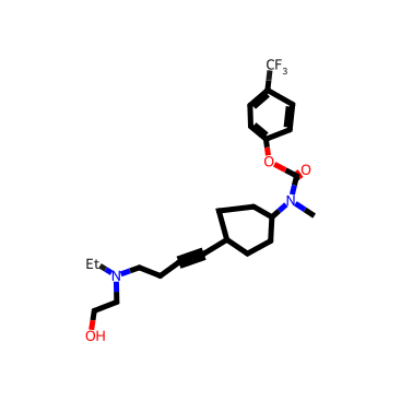 CCN(CCO)CCC#CC1CCC(N(C)C(=O)Oc2ccc(C(F)(F)F)cc2)CC1